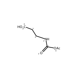 CC(=O)OC(=O)NCCC(=O)O